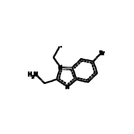 [CH2]Cn1c(CN)nc2ccc(Br)cc21